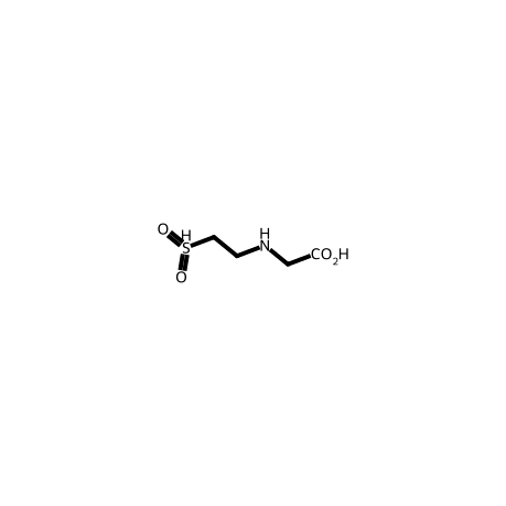 O=C(O)CNCC[SH](=O)=O